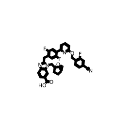 N#Cc1ccc(COc2cccc(-c3cc(F)c(Cc4nc5ccc(C(=O)O)cc5n4CC45CCC(CO4)C5)cc3F)n2)c(F)c1